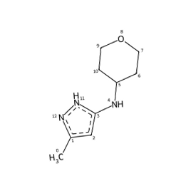 Cc1cc(NC2CCOCC2)[nH]n1